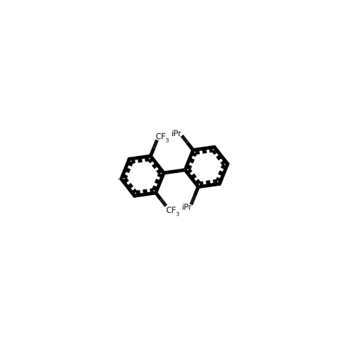 CC(C)c1cccc(C(C)C)c1-c1c(C(F)(F)F)c[c]cc1C(F)(F)F